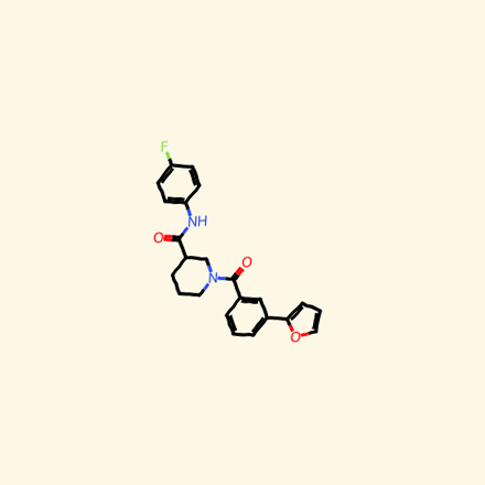 O=C(Nc1ccc(F)cc1)C1CCCN(C(=O)c2cccc(-c3ccco3)c2)C1